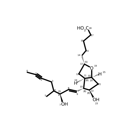 CC#CCC(C)[C@H](O)C=C[C@@H]1[C@H]2C[C@H](CCCCC(=O)O)O[C@H]2C[C@H]1O